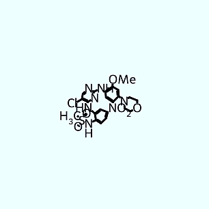 COc1cc(N2CCOCC2)c([N+](=O)[O-])cc1Nc1ncc(Cl)c(Nc2ccccc2NS(C)(=O)=O)n1